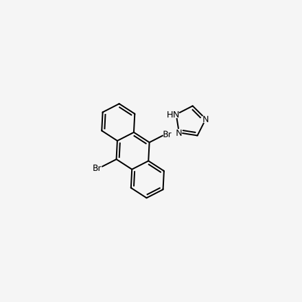 Brc1c2ccccc2c(Br)c2ccccc12.c1nc[nH]n1